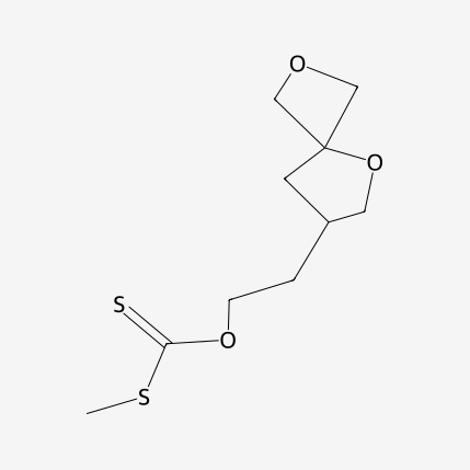 CSC(=S)OCCC1COC2(COC2)C1